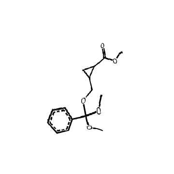 COC(=O)C1CC1COC(OC)(OC)c1ccccc1